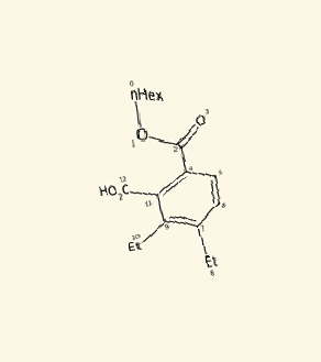 CCCCCCOC(=O)c1ccc(CC)c(CC)c1C(=O)O